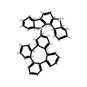 c1ccc2c(c1)-c1ccccc1-c1ccc(-n3c4ccccc4c4ccc5oc6ccccc6c5c43)cc1-c1ccccc1-2